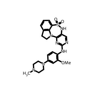 COc1cc(N2CCN(C)CC2)ccc1Nc1ncc2c(n1)N1CCc3cccc(c31)S(=O)(=O)N2